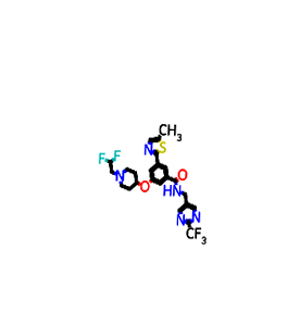 Cc1cnc(-c2cc(OC3CCN(CC(F)F)CC3)cc(C(=O)NCc3cnc(C(F)(F)F)nc3)c2)s1